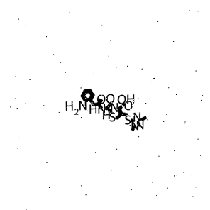 Cc1nc(SCC2=C(C(=O)O)N3C(=O)C(NC(=O)Cc4ccccc4N)[C@@H]3SC2)n(C)n1